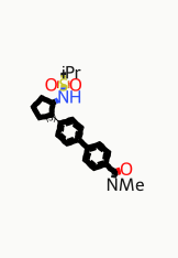 CNC(=O)c1ccc(-c2ccc([C@@H]3CCCC3NS(=O)(=O)C(C)C)cc2)cc1